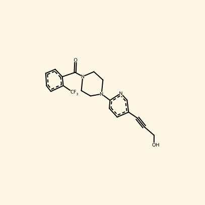 O=C(c1ccccc1C(F)(F)F)N1CCN(c2ccc(C#CCO)cn2)CC1